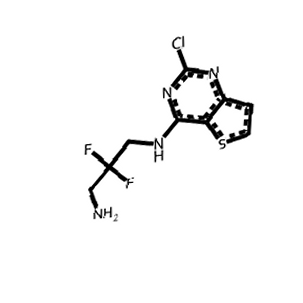 NCC(F)(F)CNc1nc(Cl)nc2ccsc12